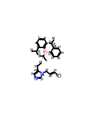 CC(C)B(c1ccccc1C(C)C)c1ccccc1C(C)C.CCc1cncn1CC=CCl